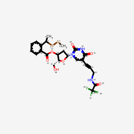 CSSC(C)c1ccccc1C(=O)OC1C[C@H](n2cc(C#CCNC(=O)C(F)(F)F)c(=O)[nH]c2=O)O[C@@H]1CO